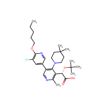 CCCCCOc1ncc(-c2cnc(C)c([C@H](OC(C)(C)C)C(=O)O)c2N2CCC(C)(C)CC2)cc1F